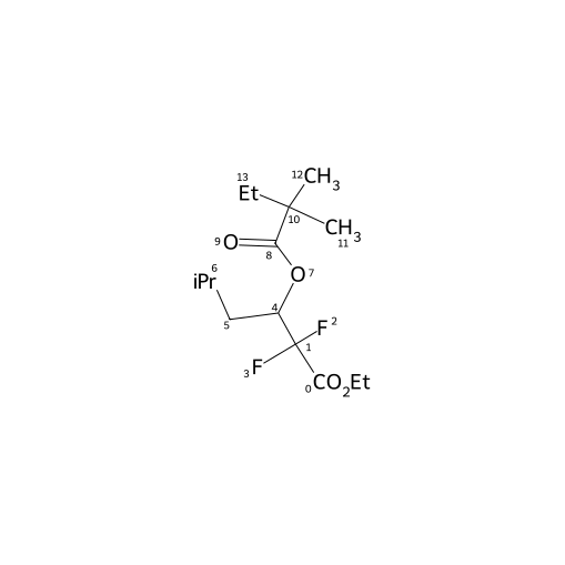 CCOC(=O)C(F)(F)C(CC(C)C)OC(=O)C(C)(C)CC